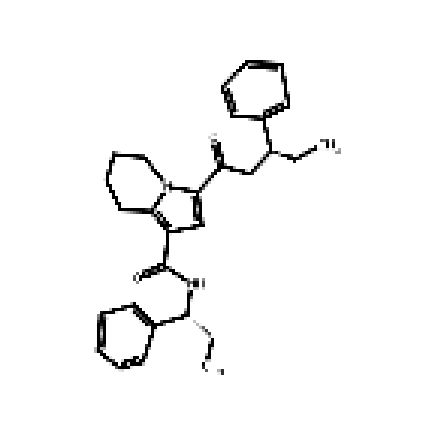 CC[C@@H](CC(=O)c1cc(C(=O)N[C@H](CC)c2ccccc2)c2n1CCCC2)c1ccccc1